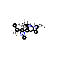 C=C1CC2C(CCc3ccc(-c4ccc(-c5cc(-c6ccccc6)ccc5C)c5cnc(-c6ccccc6)nc45)cc3-c3cc(C(C)(C)C)cc[n+]31)c1ccccc1-c1cc(C)cc[n+]12